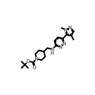 Cc1cnn(C)c1-c1ccc(NCC2CCN(C(=O)OC(C)(C)C)CC2)nn1